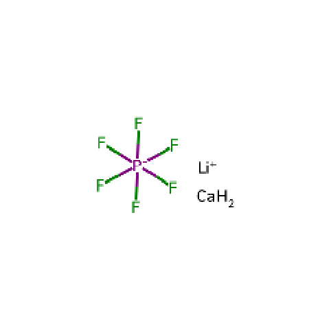 F[P-](F)(F)(F)(F)F.[CaH2].[Li+]